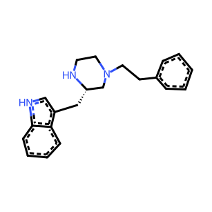 c1ccc(CCN2CCN[C@@H](Cc3c[nH]c4ccccc34)C2)cc1